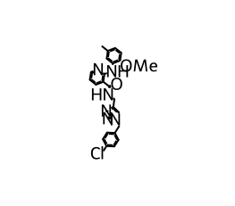 COc1ccc(C)cc1Nc1ncccc1C(=O)NCc1cn(Cc2ccc(Cl)cc2)nn1